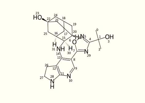 CC(C)(O)c1noc(-c2cnc3c(c2N[C@H]2[C@@H]4CC5C[C@H]2C[C@@](O)(C5)C4)CCN3)n1